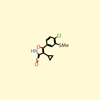 CSc1cc(C2=C(C3CC3)C(=C=O)NO2)ccc1Cl